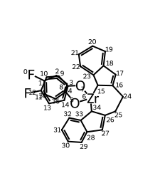 Fc1ccc([O][Zr]2([O]c3ccc(F)cc3)[CH]3C(=Cc4ccccc43)CCC3=Cc4ccccc4[CH]32)cc1